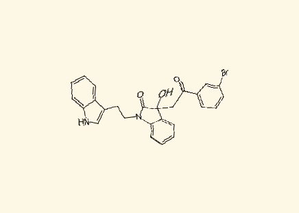 O=C(CC1(O)C(=O)N(CCc2c[nH]c3ccccc23)c2ccccc21)c1cccc(Br)c1